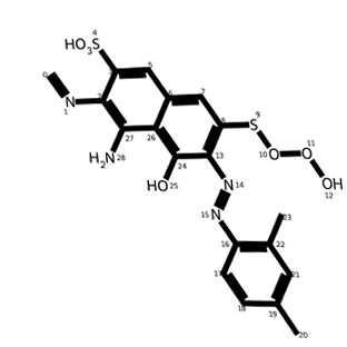 C=Nc1c(S(=O)(=O)O)cc2cc(SOOO)c(N=Nc3ccc(C)cc3C)c(O)c2c1N